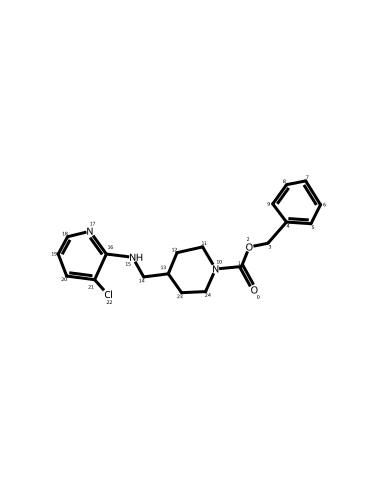 O=C(OCc1ccccc1)N1CCC(CNc2ncccc2Cl)CC1